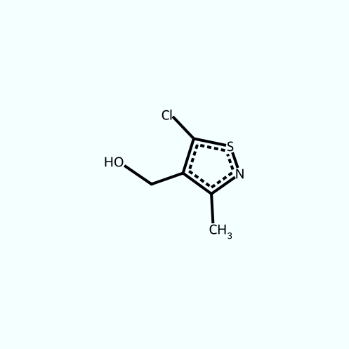 Cc1nsc(Cl)c1CO